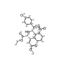 CCOC(=O)CNC(C(=O)c1ccc(Cl)cc1)c1c(C=CC(=O)OC)cccc1[N+](=O)[O-]